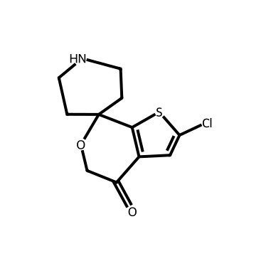 O=C1COC2(CCNCC2)c2sc(Cl)cc21